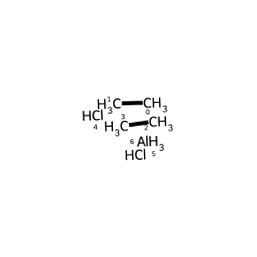 CC.CC.Cl.Cl.[AlH3]